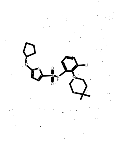 CC1(C)CCN(c2c(Cl)cccc2NS(=O)(=O)c2ccc(SC3CCCC3)s2)CC1